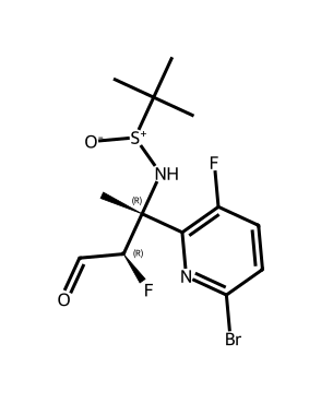 CC(C)(C)[S+]([O-])N[C@](C)(c1nc(Br)ccc1F)[C@@H](F)C=O